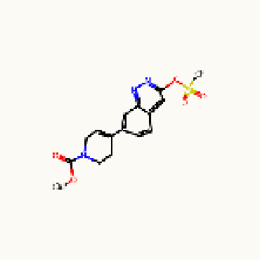 CC(C)(C)OC(=O)N1CC=C(c2ccc3cc(OS(=O)(=O)C(F)(F)F)nnc3c2)CC1